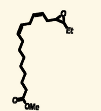 CCC1OC1C/C=C\C/C=C\CCCCCCCC(=O)OC